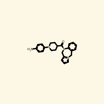 Nc1ccc(N2CCC(C(=O)N3Cc4cccn4Cc4ccccc43)CC2)cc1